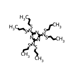 CCCSN(SCCC)c1nc(N(SCCC)SCCC)nc(N(SCCC)SCCC)n1